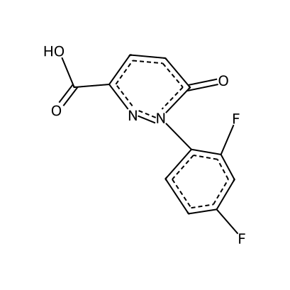 O=C(O)c1ccc(=O)n(-c2ccc(F)cc2F)n1